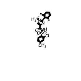 Cc1ccc(S(=O)(=O)NC(=O)c2cn(C)c(-c3c(F)cccc3F)n2)c(Cl)c1